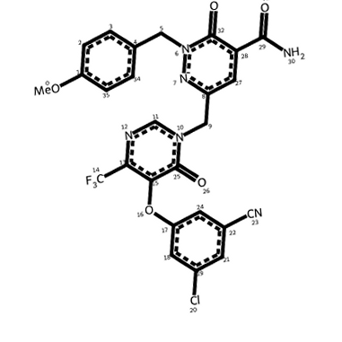 COc1ccc(Cn2nc(Cn3cnc(C(F)(F)F)c(Oc4cc(Cl)cc(C#N)c4)c3=O)cc(C(N)=O)c2=O)cc1